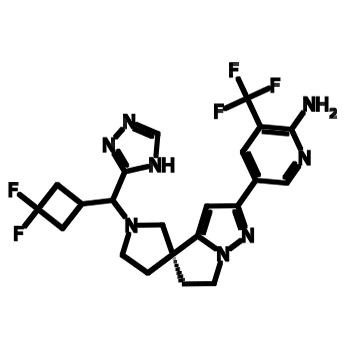 Nc1ncc(-c2cc3n(n2)CC[C@@]32CCN(C(c3nnc[nH]3)C3CC(F)(F)C3)C2)cc1C(F)(F)F